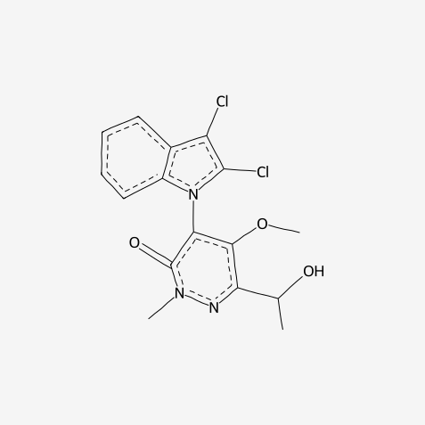 COc1c(C(C)O)nn(C)c(=O)c1-n1c(Cl)c(Cl)c2ccccc21